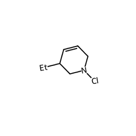 CCC1C=CCN(Cl)C1